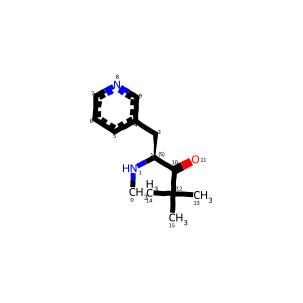 CN[C@@H](Cc1cccnc1)C(=O)C(C)(C)C